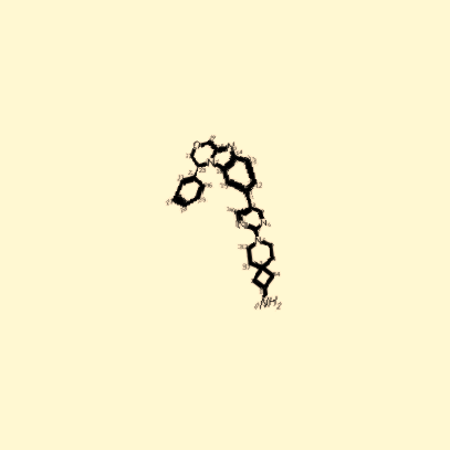 NC1CC2(CCN(c3ncc(-c4ccc5nc6n(c5c4)[C@@H](c4ccccc4)COC6)cn3)CC2)C1